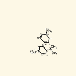 CC(C)[C@H](C)c1ccc(C(C)(C)C)cc1C1=CCC(N)C=C1